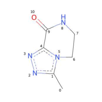 Cc1nnc2n1CCNC2=O